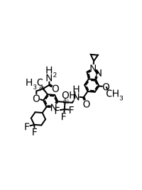 COc1cc(C(=O)NC[C@](O)(c2cc3c(c(C4CCC(F)(F)CC4)n2)OC[C@]3(C)C(N)=O)C(F)(F)F)cc2cn(C3CC3)nc12